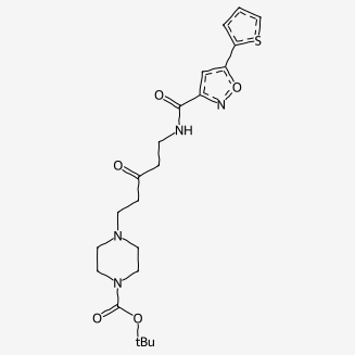 CC(C)(C)OC(=O)N1CCN(CCC(=O)CCNC(=O)c2cc(-c3cccs3)on2)CC1